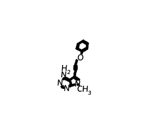 Cn1cc(C#CCOc2ccccc2)c2c(N)ncnc21